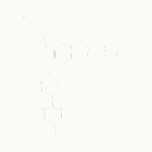 CCc1cnc(N2CCC(Oc3ccc(CN4CCN(S(C)(=O)=O)CC4)cc3C=CCCO)CC2)nc1